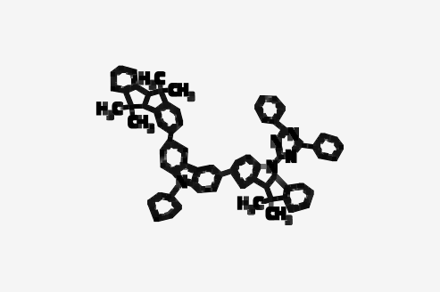 CC1(C)c2ccccc2C2C1c1cc(-c3ccc4c(c3)c3cc(-c5ccc6c(c5)C5C(c7ccccc7C5(C)C)C6(C)C)ccc3n4-c3ccccc3)ccc1N2c1nc(-c2ccccc2)nc(-c2ccccc2)n1